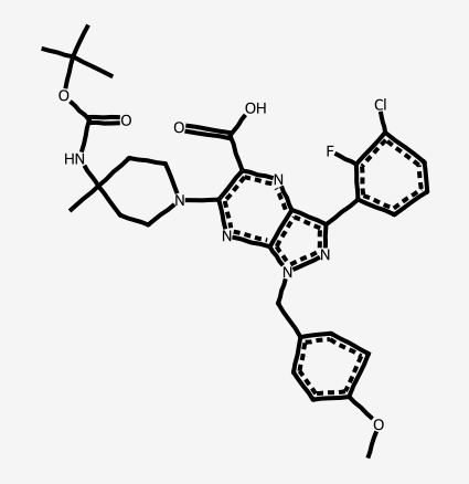 COc1ccc(Cn2nc(-c3cccc(Cl)c3F)c3nc(C(=O)O)c(N4CCC(C)(NC(=O)OC(C)(C)C)CC4)nc32)cc1